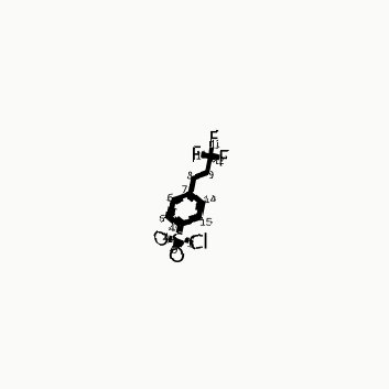 O=S(=O)(Cl)c1ccc(CCC(F)(F)F)cc1